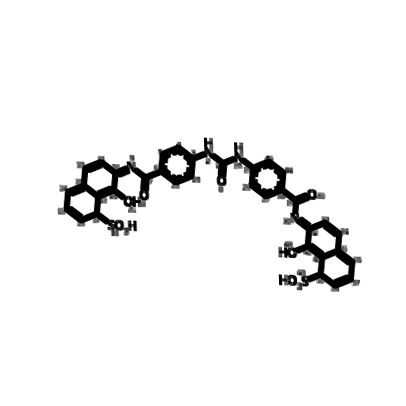 O=C(Nc1ccc(C(=O)N=C2C=CC3=CC=CC(S(=O)(=O)O)C3=C2O)cc1)Nc1ccc(C(=O)N=C2C=CC3=CC=CC(S(=O)(=O)O)C3=C2O)cc1